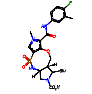 Cc1cc(NC(=O)c2c3c(cn2C)S(=O)(=O)N[C@H]2CN(C(=O)O)C(C(C)(C)C)[C@@H]2CO3)ccc1F